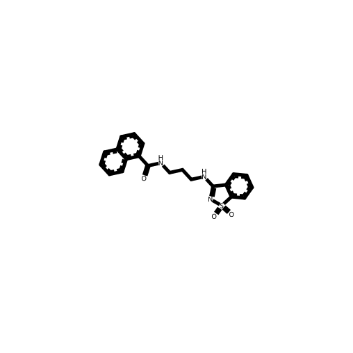 O=C(NCCCNC1=NS(=O)(=O)c2ccccc21)c1cccc2ccccc12